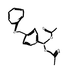 CC(=O)OI(OC(C)=O)c1ccc(Oc2ccccc2)cc1